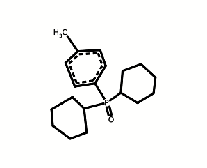 Cc1ccc(P(=O)(C2CCCCC2)C2CCCCC2)cc1